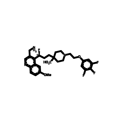 COc1ccc2ncc(CN)c([C@@H](F)CCC3(C(=O)O)CCN(CCOc4cc(F)c(F)c(F)c4)CC3)c2c1